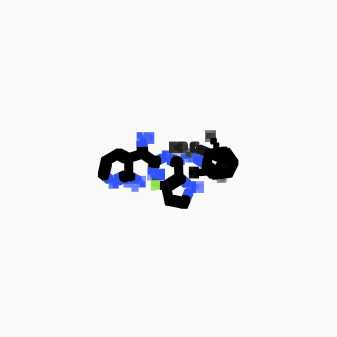 N=C(/N=C(/N[C@H]1C2CCC(CC2)[C@@H]1C(=O)O)c1[nH]ccc1F)C(=N)c1cccnc1N